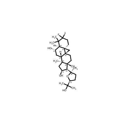 CC(C)(O)[C@@H]1CC[C@](C)([C@H]2[C@@H](O)C[C@@]3(C)[C@@H]4C[C@H](O)[C@H]5C(C)(C)C(F)(F)CC[C@@]56C[C@@]46CC[C@]23C)O1